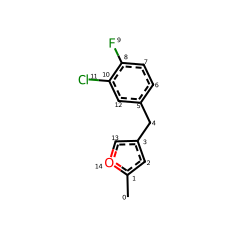 Cc1cc(Cc2ccc(F)c(Cl)c2)co1